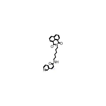 O=C(/C=C\c1cccnc1)NCCCCCCN1C(=O)c2cccc3cccc(c23)C1=O